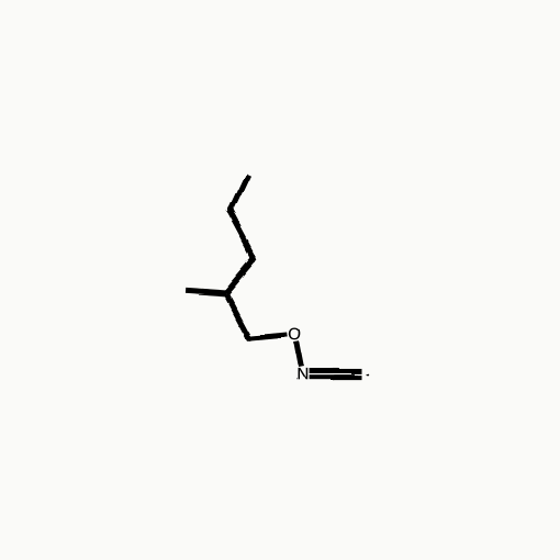 [CH]=NOCC(C)CCC